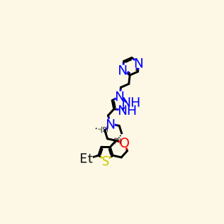 CCc1cc2c(s1)CCO[C@@]21CCN(CC2=CN(CCc3cnccn3)NN2)[C@@H](C)C1